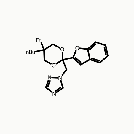 CCCCC1(CC)COC(Cn2cncn2)(c2cc3ccccc3o2)OC1